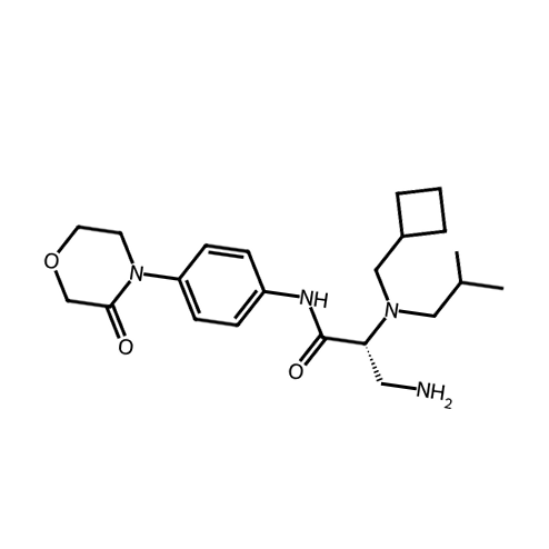 CC(C)CN(CC1CCC1)[C@H](CN)C(=O)Nc1ccc(N2CCOCC2=O)cc1